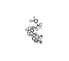 CC(C)(C)OC(=O)N(C(=O)OC(C)(C)C)c1c(F)ccc(NC(=O)c2cc(NC(=O)[C@H]3[C@H](c4ccc(F)c(Cl)c4)C3(Cl)Cl)cc(C(F)(F)F)c2Cl)c1F